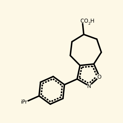 CC(C)c1ccc(-c2noc3c2CCC(C(=O)O)CC3)cc1